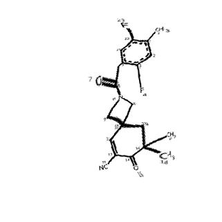 Cc1cc(F)c(C(=O)N2CC3(C=C(C#N)C(=O)C(C)(C)C3)C2)cc1F